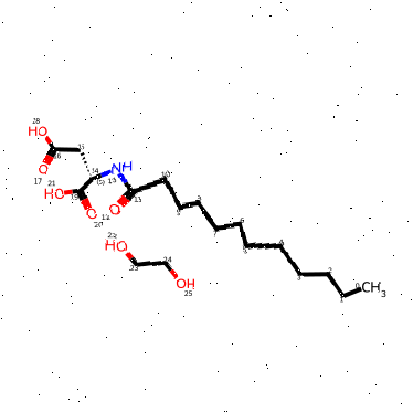 CCCCCCCCCCCC(=O)N[C@@H](CC(=O)O)C(=O)O.OCCO